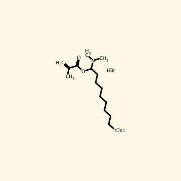 Br.C=C(C)C(=O)OC(CCCCCCCCCCCCCCCCCC)N(C)C